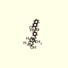 C=C(C)/C(CC(=O)O)=C(/C)N(N)Cc1ccc(NC(=O)c2cc3ccccc3cc2Cl)cc1